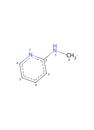 [CH2]Nc1ccccn1